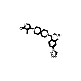 CC1=C(N2CCC3(CC2)CCN([C@H](CO)c2ccc(-n4cnnn4)cc2C)CC3)COC1=O